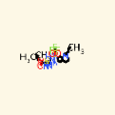 CCCCN1CCCc2cc(N=Nc3nnc(C(=O)OCC(C)C)s3)c(NS(=O)(=O)C(F)(F)F)cc21